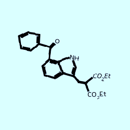 CCOC(=O)C(Cc1c[nH]c2c(C(=O)c3ccccc3)cccc12)C(=O)OCC